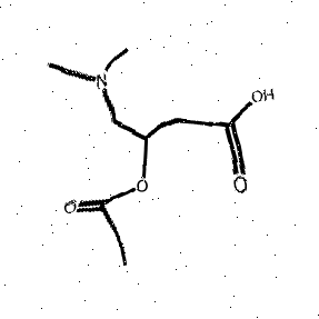 CC(=O)OC(CC(=O)O)CN(C)C